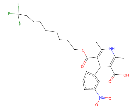 CC1=C(C(=O)O)C(c2cccc([N+](=O)[O-])c2)C(C(=O)OCCCCCCCCC(F)(F)F)=C(C)N1